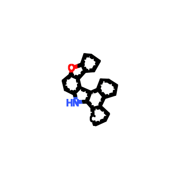 c1ccc2c(c1)oc1ccc3[nH]c4c5ccccc5c5ccccc5c4c3c12